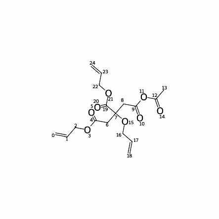 C=CCOC(=O)CC(CC(=O)OC(C)=O)(OCC=C)C(=O)OCC=C